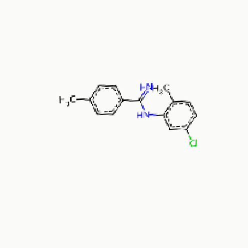 Cc1ccc(C(=N)Nc2cc(Cl)ccc2C)cc1